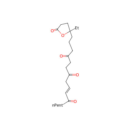 CCCCCC(=O)C=CCC(=O)CCC(=O)CCCC1(CC)CCC(=O)O1